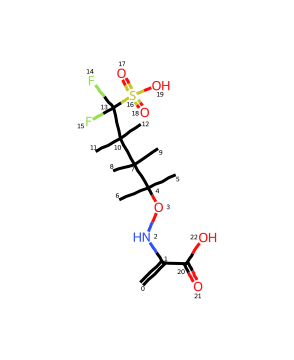 C=C(NOC(C)(C)C(C)(C)C(C)(C)C(F)(F)S(=O)(=O)O)C(=O)O